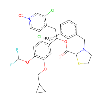 O=C(O)c1cccc(CN2CCSC2C(=O)OC(Cc2c(Cl)c[n+]([O-])cc2Cl)c2ccc(OC(F)F)c(OCC3CC3)c2)c1